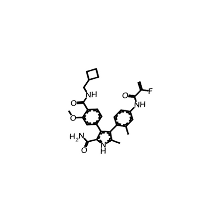 C=C(F)C(=O)Nc1ccc(-c2c(C)[nH]c(C(N)=O)c2-c2ccc(C(=O)NCC3CCC3)c(OC)c2)c(C)c1